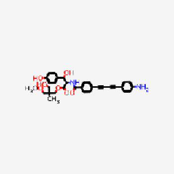 COCC(C)(CO)COC(=O)[C@@H](NC(=O)c1ccc(C#CC#Cc2ccc(N)cc2)cc1)[C@H](O)c1ccc(O)cc1